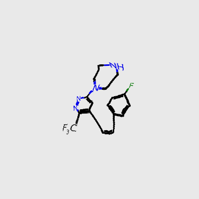 Fc1ccc(/C=C\c2cc(N3CCNCC3)nnc2C(F)(F)F)cc1